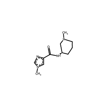 CN1CCC[C@@H](NC(=O)c2cn(C)cn2)C1